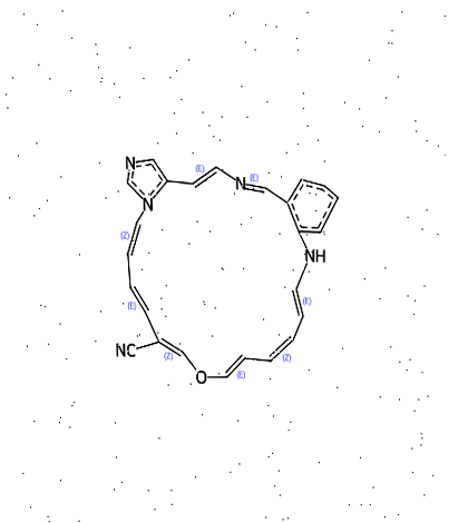 N#CC1=C/O/C=C/C=C\C=C\Nc2ccccc2/C=N/C=C/c2cncn2\C=C/C=C/1